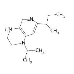 CCC(C)c1cc2c(cn1)NCCN2C(C)C